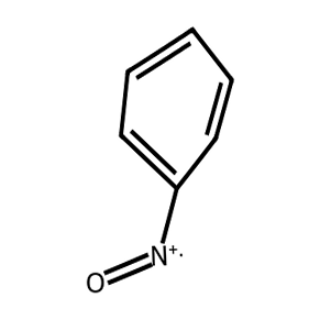 O=[N+]c1ccccc1